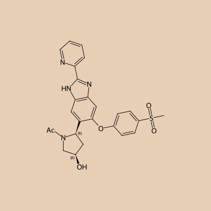 CC(=O)N1C[C@H](O)C[C@@H]1c1cc2[nH]c(-c3ccccn3)nc2cc1Oc1ccc(S(C)(=O)=O)cc1